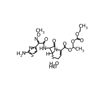 CCOC(=O)OC(C)OC(=O)C1=CCS[C@@H]2C(NC(=O)/C(=N\OC)c3csc(N)n3)C(=O)N12.Cl.O